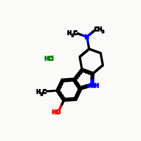 Cc1cc2c3c([nH]c2cc1O)CCC(N(C)C)C3.Cl